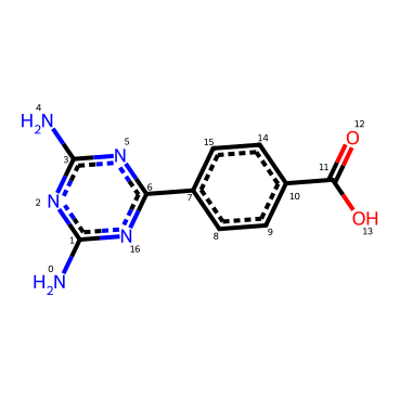 Nc1nc(N)nc(-c2ccc(C(=O)O)cc2)n1